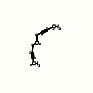 CC#CCOCC#CC